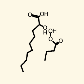 CCCC(=O)OO.CCCCCCCCC(O)C(=O)O